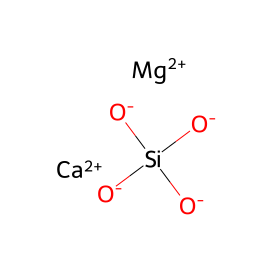 [Ca+2].[Mg+2].[O-][Si]([O-])([O-])[O-]